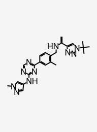 C=C(NCc1ccc(-c2ncnc(Nc3cnn(C)c3)n2)cc1C)c1cn(C(C)(C)C)nn1